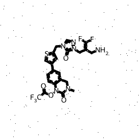 CN1Cc2cc(-c3csc(Cn4cnn(CC(CN)=C(F)F)c4=O)c3)ccc2N(OC(=O)C(F)(F)F)C1=O